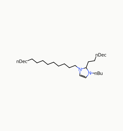 CCCCCCCCCCCCCCCCCCCN1C=CN(CCCC)C1CCCCCCCCCCCC